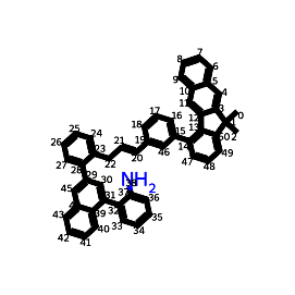 CC1(C)c2cc3ccccc3cc2-c2c(-c3cccc(/C=C/Cc4ccccc4-c4cc(-c5ccccc5N)c5ccccc5c4)c3)cccc21